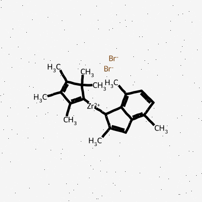 CC1=Cc2c(C)ccc(C)c2[CH]1[Zr+2][C]1=C(C)C(C)=C(C)C1(C)C.[Br-].[Br-]